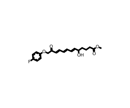 COC(=O)CCCC(O)C=CC=CC=CC(=O)COc1ccc(F)cc1